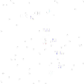 CN(C)CCCNC(=O)[C@H](Cc1ccc(F)cc1)NC(=O)c1cc2cc(Cl)ncc2[nH]1